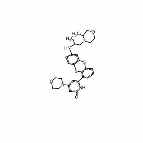 CC(CN1CCOCC1C)Nc1ccc2c(c1)Sc1cccc(-c3cc(N4CCOCC4)cc(=O)[nH]3)c1S2